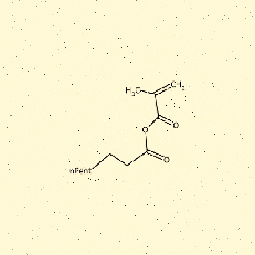 C=C(C)C(=O)OC(=O)CCCCCCC